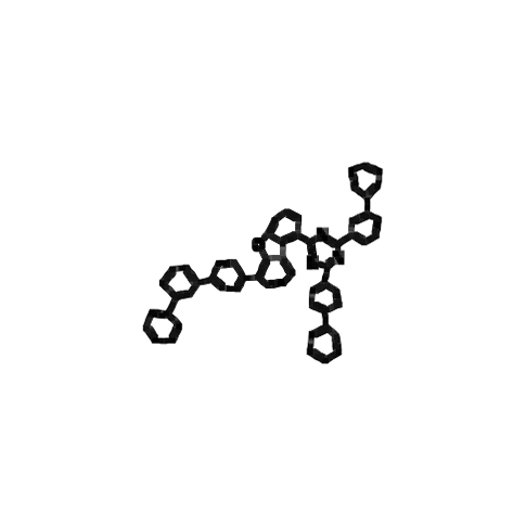 c1ccc(-c2ccc(-c3nc(-c4cccc(-c5ccccc5)c4)nc(-c4cccc5oc6c(-c7ccc(-c8cccc(-c9ccccc9)c8)cc7)cccc6c45)n3)cc2)cc1